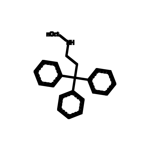 CCCCCCCCNCCC(c1ccccc1)(c1ccccc1)c1ccccc1